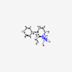 C=Cc1c(-c2ccccc2)ccc[n+]1N(C)C